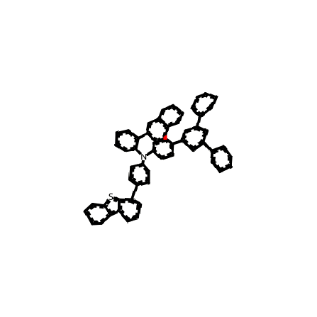 c1ccc(-c2cc(-c3ccccc3)cc(-c3ccc(N(c4ccc(-c5cccc6c5sc5ccccc56)cc4)c4ccccc4-c4ccc5ccccc5c4)cc3)c2)cc1